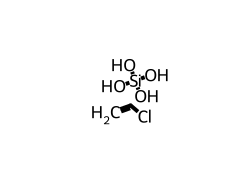 C=CCl.O[Si](O)(O)O